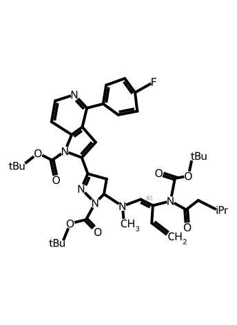 C=C/C(=C\N(C)C1CC(c2cc3c(-c4ccc(F)cc4)nccc3n2C(=O)OC(C)(C)C)=NN1C(=O)OC(C)(C)C)N(C(=O)CC(C)C)C(=O)OC(C)(C)C